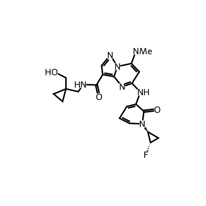 CNc1cc(Nc2cccn([C@H]3C[C@@H]3F)c2=O)nc2c(C(=O)NCC3(CO)CC3)cnn12